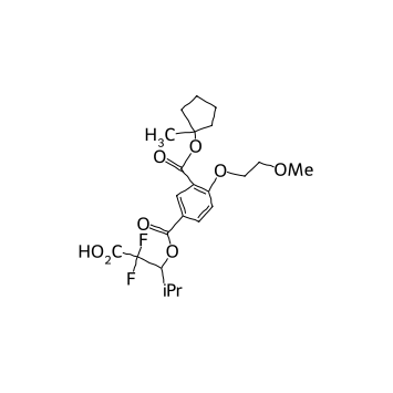 COCCOc1ccc(C(=O)OC(C(C)C)C(F)(F)C(=O)O)cc1C(=O)OC1(C)CCCC1